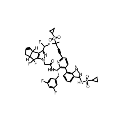 Cn1nc(NS(=O)(=O)C2CC2)c2cccc(-c3ccc(C#CC(C)(C)S(=O)(=O)C4CC4)nc3[C@H](Cc3cc(F)cc(F)c3)NC(=O)Cn3nc(C(F)F)c4c3C(F)(F)[C@@H]3CC#C[C@H]43)c21